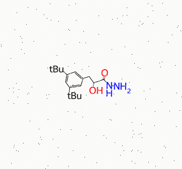 CC(C)(C)c1cc(CC(O)C(=O)NN)cc(C(C)(C)C)c1